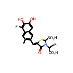 Cc1cc2c(C(C)C)c(O)c(O)cc2cc1C=C1SC(S(=O)(=O)O)N(C(C(=O)O)C(C)C)C1=O